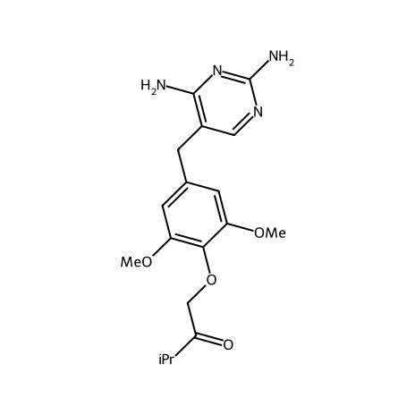 COc1cc(Cc2cnc(N)nc2N)cc(OC)c1OCC(=O)C(C)C